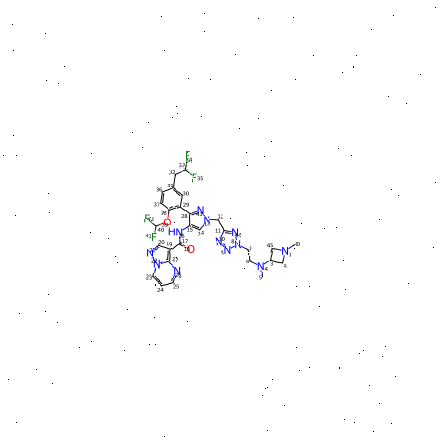 CN1CC(N(C)CCn2nnc(Cn3cc(NC(=O)c4cnn5cccnc45)c(-c4cc(CC(F)F)ccc4OC(F)F)n3)n2)C1